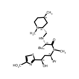 CC[C@H](C)[C@H](NC[C@H]1C[C@H](C)CCN1C)C(=O)N(C)[C@H](C[C@@H](O)c1nc(C(=O)O)cs1)C(C)C